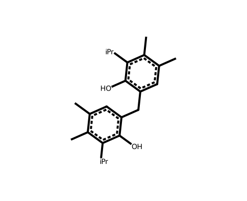 Cc1cc(Cc2cc(C)c(C)c(C(C)C)c2O)c(O)c(C(C)C)c1C